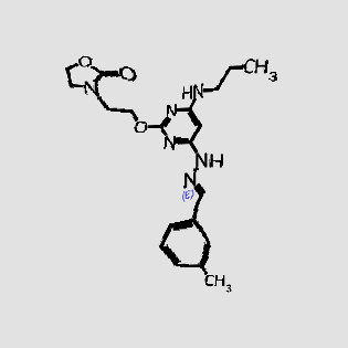 CCCNc1cc(N/N=C/c2cccc(C)c2)nc(OCCN2CCOC2=O)n1